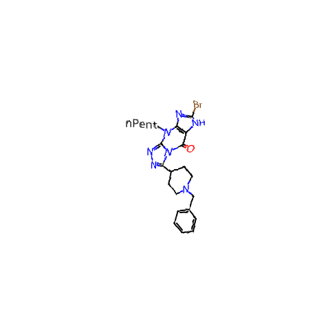 CCCCCn1c2nc(Br)[nH]c2c(=O)n2c(C3CCN(Cc4ccccc4)CC3)nnc12